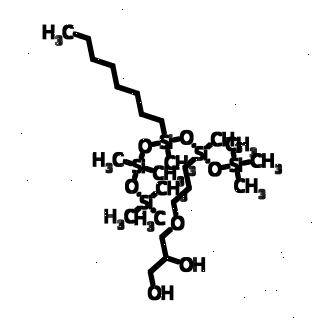 CCCCCCCC[Si](C)(O[Si](C)(C)O[Si](C)(C)C)O[Si](C)(CCCOCC(O)CO)O[Si](C)(C)C